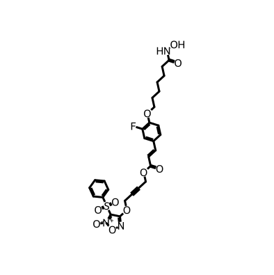 O=C(CCCCCCOc1ccc(C=CC(=O)OCC#CCOc2no[n+]([O-])c2S(=O)(=O)c2ccccc2)cc1F)NO